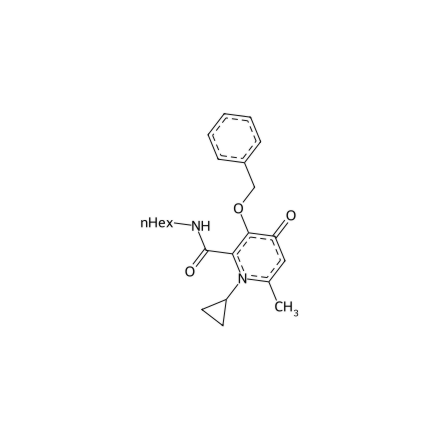 CCCCCCNC(=O)c1c(OCc2ccccc2)c(=O)cc(C)n1C1CC1